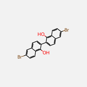 Oc1c(-c2ccc3cc(Br)ccc3c2O)ccc2cc(Br)ccc12